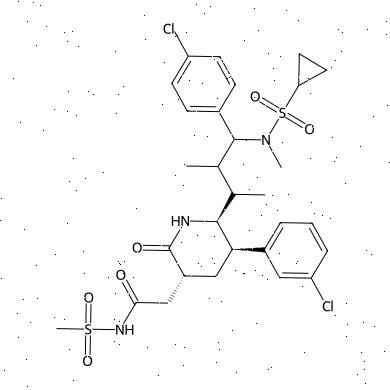 CC(C(C)[C@@H]1NC(=O)[C@@H](CC(=O)NS(C)(=O)=O)C[C@@H]1c1cccc(Cl)c1)C(c1ccc(Cl)cc1)N(C)S(=O)(=O)C1CC1